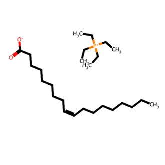 CCCCCCCC/C=C\CCCCCCCC(=O)[O-].CC[P+](CC)(CC)CC